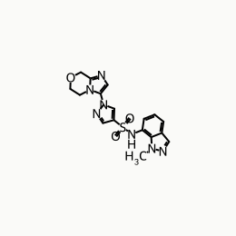 Cn1ncc2cccc(NS(=O)(=O)c3cnn(-c4cnc5n4CCOC5)c3)c21